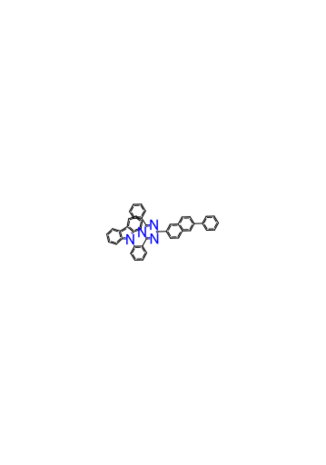 c1ccc(-c2ccc3cc(-c4nc(-c5ccccc5)nc(-c5ccccc5-n5c6ccccc6c6ccccc65)n4)ccc3c2)cc1